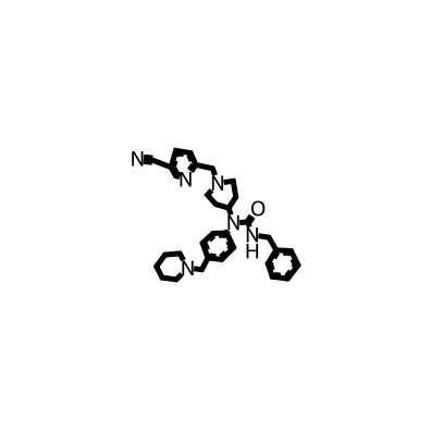 N#Cc1ccc(CN2CCC(N(C(=O)NCc3ccccc3)c3ccc(CN4CCCCC4)cc3)CC2)nc1